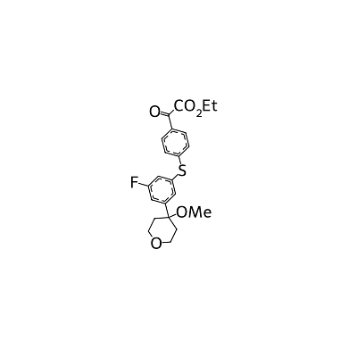 CCOC(=O)C(=O)c1ccc(Sc2cc(F)cc(C3(OC)CCOCC3)c2)cc1